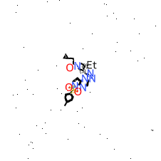 CC[C@H]1CN(C(=O)CC2CC2)C[C@H]1c1nnc2cnc3c(ccn3S(=O)(=O)c3ccc(C)cc3)n12